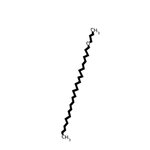 CCCCCCCCCCCCCCCCCCCCCCCCCC[CH]OCCCC